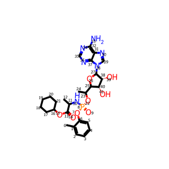 Cc1ccccc1OP(=O)(NC(C)C(=O)OC1CCCCC1)OC(C)C1OC(n2cnc3c(N)ncnc32)[C@H](O)[C@@H]1O